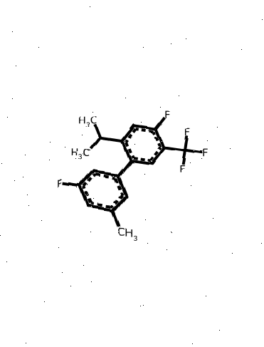 Cc1cc(F)cc(-c2cc(C(F)(F)F)c(F)cc2C(C)C)c1